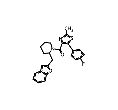 Cc1nc(C(=O)N2CCCCC2Cc2cc3ccccc3o2)c(-c2ccc(F)cc2)s1